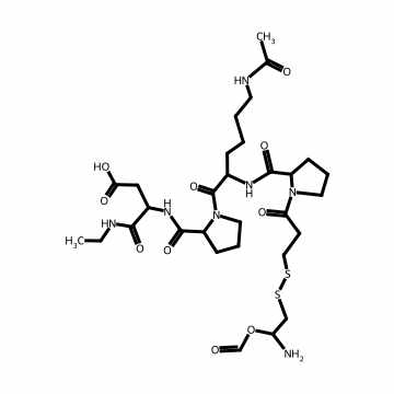 CCNC(=O)C(CC(=O)O)NC(=O)C1CCCN1C(=O)C(CCCCNC(C)=O)NC(=O)C1CCCN1C(=O)CCSSCC(N)OC=O